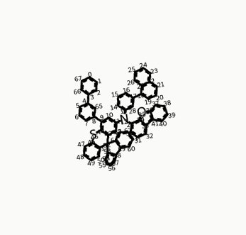 c1ccc(-c2cccc(-c3cc(N(c4cccc(-c5cccc6ccccc56)c4)c4cccc5c4oc4ccccc45)cc4c3Sc3ccccc3C43c4ccccc4-c4ccccc43)c2)cc1